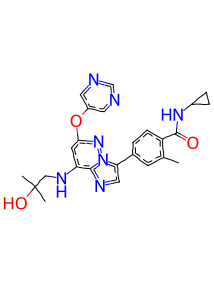 Cc1cc(-c2cnc3c(NCC(C)(C)O)cc(Oc4cncnc4)nn23)ccc1C(=O)NC1CC1